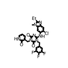 CCc1nc2cc(Cl)c(Nc3nc(=O)n(Cc4ccc[nH]c4=O)c(=O)n3Cc3cc(F)c(F)c(F)c3)cc2n1C